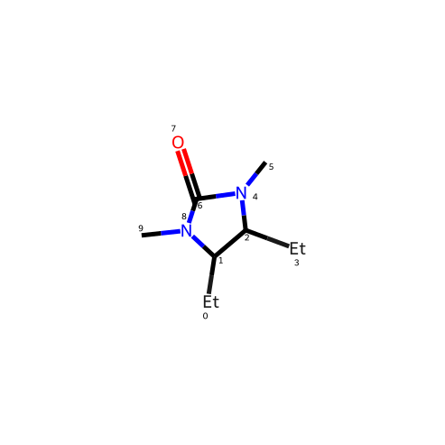 CCC1C(CC)N(C)C(=O)N1C